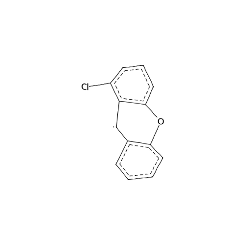 Clc1cccc2c1[CH]c1ccccc1O2